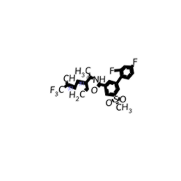 C=C/C(=C\C=C(/C)C(F)(F)F)[C@@H](C)NC(=O)c1cc(-c2ccc(F)cc2F)cc(S(C)(=O)=O)c1